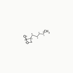 CCCCC[C]1COC1=O